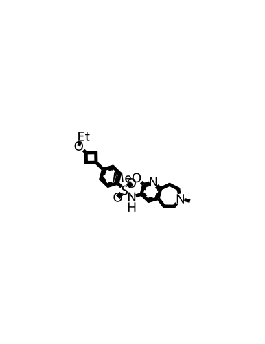 CCOC1CC(c2ccc(S(=O)(=O)Nc3cc4c(nc3OC)CCN(C)CC4)cc2)C1